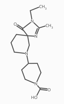 CCN1C(=O)C2(CCCN(C3CCN(C(=O)O)CC3)C2)N=C1C